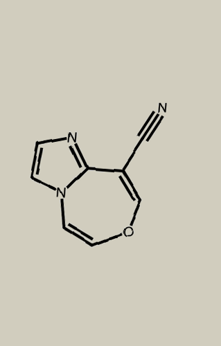 N#CC1=COC=Cn2ccnc21